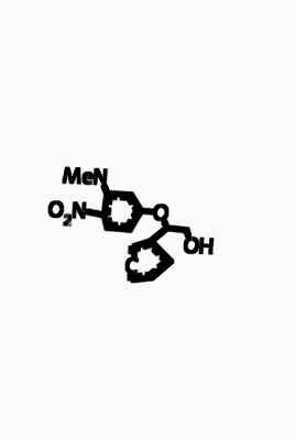 CNc1cc(OC(CO)c2ccccc2)ccc1[N+](=O)[O-]